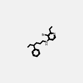 CCc1nccc(NCCCC(CC)c2ccccc2)c1Br